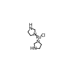 [Cl][Ru]([N]1CCNC1)[N]1CCNC1